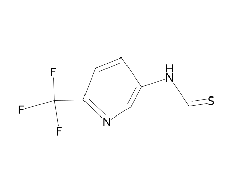 FC(F)(F)c1ccc(NC=S)cn1